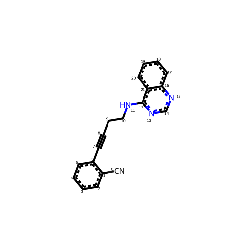 N#Cc1ccccc1C#CCCNc1ncnc2ccccc12